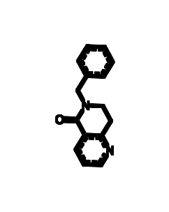 O=C1c2cccnc2CCN1Cc1ccccc1